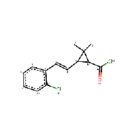 CC1(C)C(/C=C/c2ccccc2Cl)C1C(=O)Cl